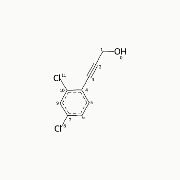 OCC#Cc1ccc(Cl)cc1Cl